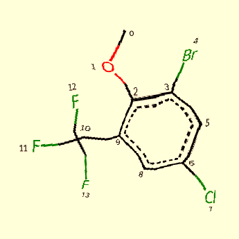 COc1c(Br)cc(Cl)cc1C(F)(F)F